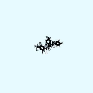 Cc1ccc(S(=O)(=O)n2cc(S(=O)(=O)Nc3cc(F)c(C(F)(F)F)cc3F)c3c2CC(F)(F)CC3)cc1